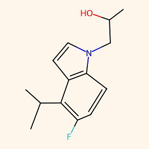 CC(O)Cn1ccc2c(C(C)C)c(F)ccc21